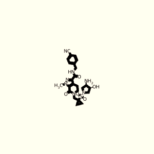 Cn1nc(C(=O)NCc2ccc(C#N)cc2)c2c1C(=O)N(CC1(S(=O)(=O)N3C[C@@H](N)[C@H](O)C3)CC1)CC2